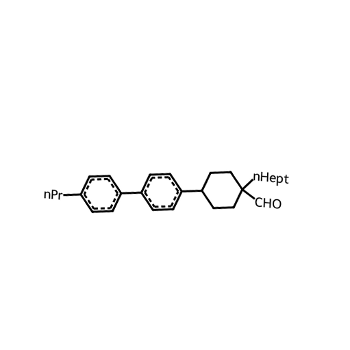 CCCCCCCC1(C=O)CCC(c2ccc(-c3ccc(CCC)cc3)cc2)CC1